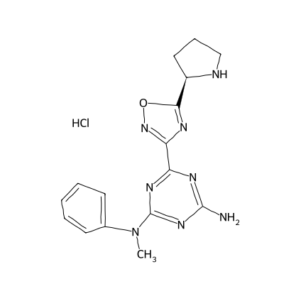 CN(c1ccccc1)c1nc(N)nc(-c2noc([C@H]3CCCN3)n2)n1.Cl